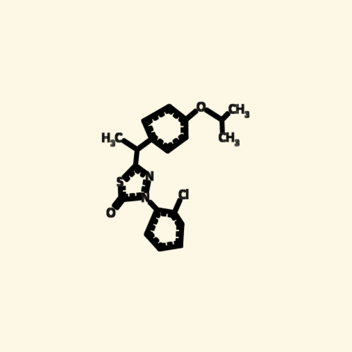 CC(C)Oc1ccc(C(C)c2nn(-c3ccccc3Cl)c(=O)s2)cc1